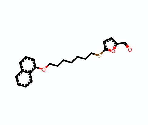 O=Cc1ccc(SCCCCCCCOc2cccc3ccccc23)o1